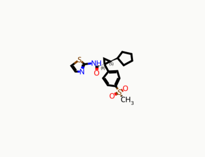 CS(=O)(=O)c1ccc([C@@]2(C(=O)Nc3nccs3)C[C@H]2C2CCCC2)cc1